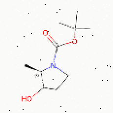 C[C@@H]1C(O)CCN1C(=O)OC(C)(C)C